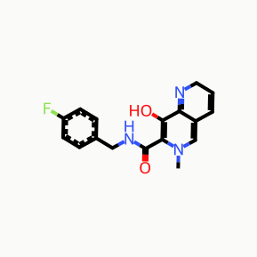 CN1C=C2C=CCN=C2C(O)=C1C(=O)NCc1ccc(F)cc1